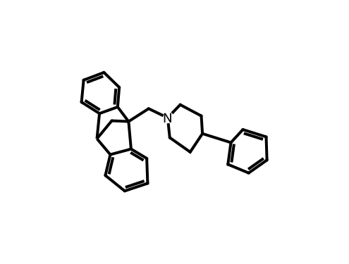 c1ccc(C2CCN(CC34CC(c5ccccc53)c3ccccc34)CC2)cc1